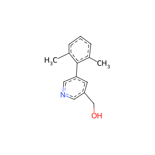 Cc1cccc(C)c1-c1cncc(CO)c1